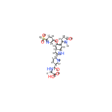 C[C@H](NC(=O)c1ccc(-c2cc3cc(Oc4ccc(S(C)(=O)=O)nc4)c(C4CCC(=O)N4C)cc3[nH]2)nc1)C(=O)O